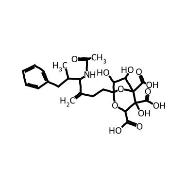 C=C(CCC12OC(C(=O)O)C(O)(C(=O)O)C(C(=O)O)(O1)C(O)C2O)C(NC(C)=O)C(C)Cc1ccccc1